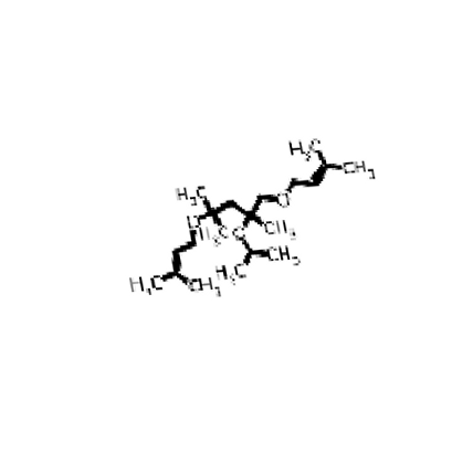 CC(C)=CCOCC(C)(CC(C)(C)OCC=C(C)C)OC(C)C